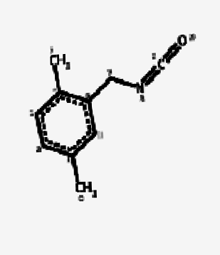 Cc1ccc(C)c(CN=C=O)c1